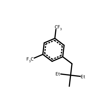 CCC(C)(CC)Cc1cc(C(F)(F)F)cc(C(F)(F)F)c1